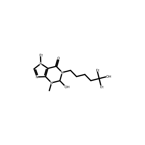 CCn1cnc2c1C(=O)N(CCCCC(O)(CC)CC)C(O)N2C